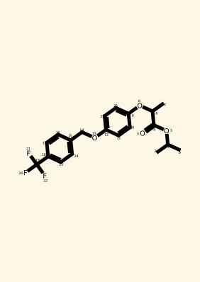 CC(C)OC(=O)C(C)Oc1ccc(OCc2ccc(C(F)(F)F)cc2)cc1